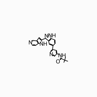 CC(C)(C)C(=O)Nc1cncc(-c2ccc3[nH]nc(-c4cc5cnccc5[nH]4)c3c2)c1